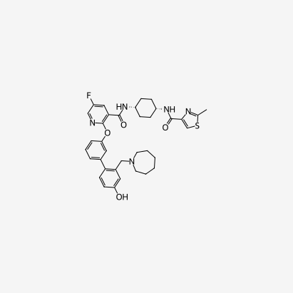 Cc1nc(C(=O)N[C@H]2CC[C@@H](NC(=O)c3cc(F)cnc3Oc3cccc(-c4ccc(O)cc4CN4CCCCCC4)c3)CC2)cs1